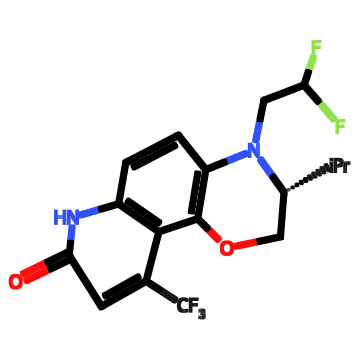 CC(C)[C@@H]1COc2c(ccc3[nH]c(=O)cc(C(F)(F)F)c23)N1CC(F)F